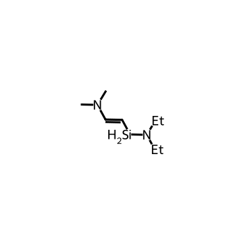 CCN(CC)[SiH2]C=CN(C)C